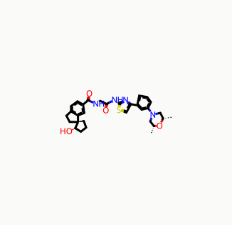 C[C@@H]1CN(c2cccc(-c3csc(NC(=O)CNC(=O)c4ccc5c(c4)[C@@]4(CCC[C@@H]4O)CC5)n3)c2)C[C@H](C)O1